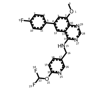 COc1cc(-c2ccc(F)cc2)cc2c(NCc3ccc(OC(F)F)nc3)ncnc12